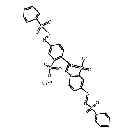 O=S(=O)([O-])c1cc(N=NS(=O)(=O)c2ccccc2)ccc1C=Cc1ccc(N=NS(=O)(=O)c2ccccc2)cc1S(=O)(=O)[O-].[Na+].[Na+]